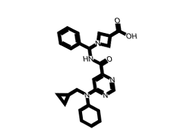 O=C(NC(c1ccccc1)N1CC(C(=O)O)C1)c1cc(N(CC2CC2)C2CCCCC2)ncn1